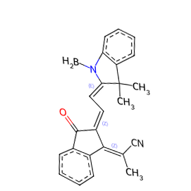 BN1/C(=C/C=C2\C(=O)c3ccccc3\C2=C(/C)C#N)C(C)(C)c2ccccc21